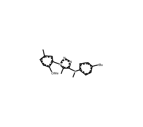 COc1ccc(C)cc1-n1nnc(N(C)c2ccc(C(C)(C)C)cc2)c1C